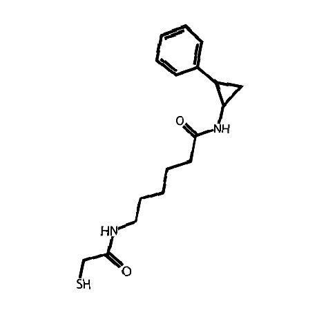 O=C(CS)NCCCCCC(=O)NC1CC1c1ccccc1